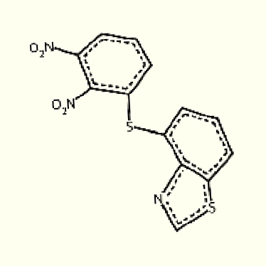 O=[N+]([O-])c1cccc(Sc2cccc3scnc23)c1[N+](=O)[O-]